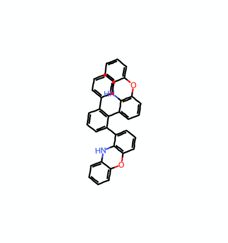 c1ccc(-c2cccc(-c3cccc4c3Nc3ccccc3O4)c2-c2cccc3c2Nc2ccccc2O3)cc1